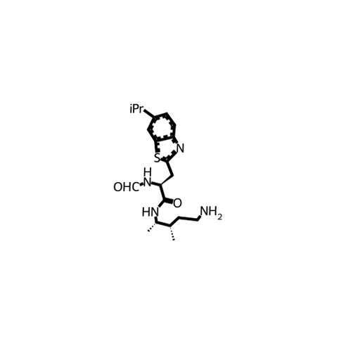 CC(C)c1ccc2nc(C[C@H](NC=O)C(=O)N[C@@H](C)[C@@H](C)CCN)sc2c1